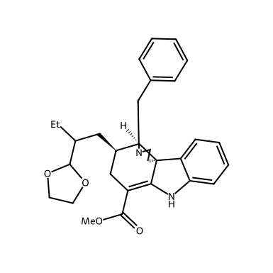 CCC(C[C@@H]1CC(C(=O)OC)=C2Nc3ccccc3[C@@]23CCN(Cc2ccccc2)[C@@H]13)C1OCCO1